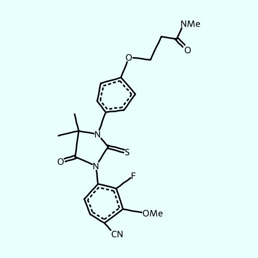 CNC(=O)CCOc1ccc(N2C(=S)N(c3ccc(C#N)c(OC)c3F)C(=O)C2(C)C)cc1